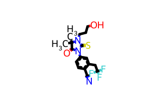 CC1(C)C(=O)N(c2ccc(C#N)c(CC(F)(F)F)c2)C(=S)N1CCCO